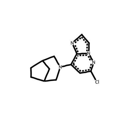 Clc1cc(N2CC3CCC(C3)C2)c2nccn2n1